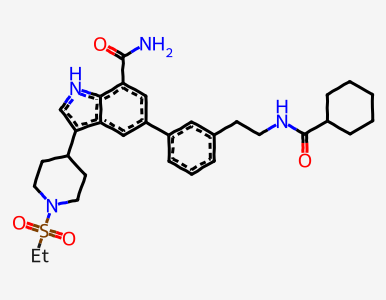 CCS(=O)(=O)N1CCC(c2c[nH]c3c(C(N)=O)cc(-c4cccc(CCNC(=O)C5CCCCC5)c4)cc23)CC1